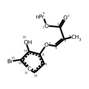 CCCOC(=O)C(C)=COc1cccc(Br)c1O